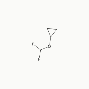 FC(F)OC1CC1